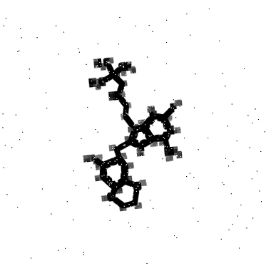 CC(C)(C)CNCCn1c(Cc2cc3c(cc2[124I])OCCO3)nc2c(N)nc(F)nc21